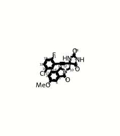 COc1ccc2c(c1)C(=O)N(C[C@@]1(C#Cc3cc(Cl)ccc3F)NC(=O)NC1=O)C2